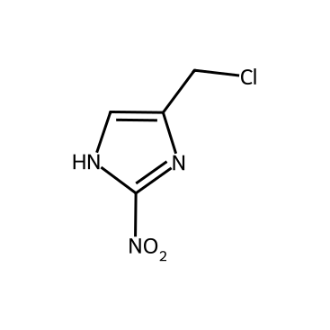 O=[N+]([O-])c1nc(CCl)c[nH]1